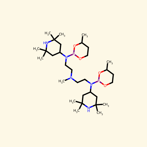 CC1CCOP(N(CCN(C)CCN(C2CC(C)(C)NC(C)(C)C2)P2OCCC(C)O2)C2CC(C)(C)NC(C)(C)C2)O1